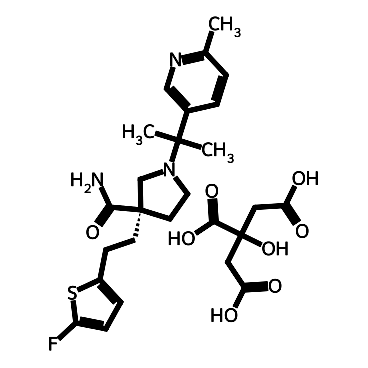 Cc1ccc(C(C)(C)N2CC[C@@](CCc3ccc(F)s3)(C(N)=O)C2)cn1.O=C(O)CC(O)(CC(=O)O)C(=O)O